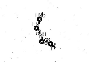 CC(=O)Nc1ccc(CNc2cccc(CC(=O)NN=Cc3ccccc3OS(=O)(=O)c3ccc(C(F)(F)F)cc3)c2)cc1